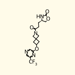 O=C1N[C@H](CCC(=O)N2CC3(CC(Oc4cncc(C(F)(F)F)n4)C3)C2)CO1